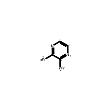 CCCc1nccnc1CCC